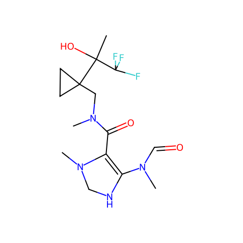 CN(C=O)C1=C(C(=O)N(C)CC2(C(C)(O)C(F)(F)F)CC2)N(C)CN1